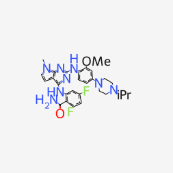 COc1cc(N2CCN(C(C)C)CC2)ccc1Nc1nc(Nc2cc(F)cc(F)c2C(N)=O)c2ccn(C)c2n1